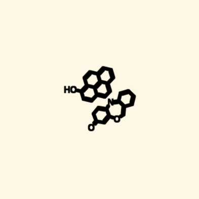 O=C1C=C2OC=c3ccccc3=NC2=CC1.Oc1ccc2ccc3cccc4ccc1c2c34